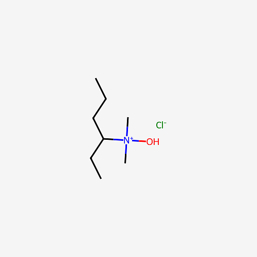 CCCC(CC)[N+](C)(C)O.[Cl-]